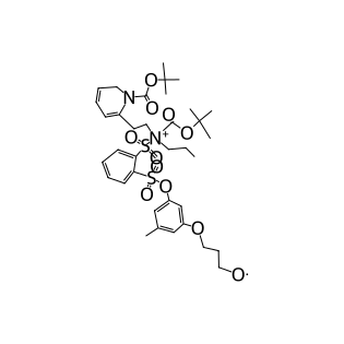 CCC[N+](CCC1=CC=CCN1C(=O)OC(C)(C)C)(C(=O)OC(C)(C)C)S(=O)(=O)c1ccccc1S(=O)(=O)Oc1cc(C)cc(OCCC[O])c1